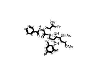 CCCC(CCC)CC[C@@H](NC(=O)c1cccnc1)C(=O)N[C@@H](Cc1cc(F)cc(F)c1)[C@@H](O)[C@H](O)[C@@H](CCOC)NC(C)=O